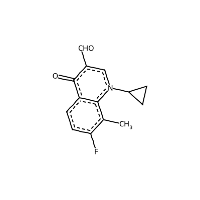 Cc1c(F)ccc2c(=O)c(C=O)cn(C3CC3)c12